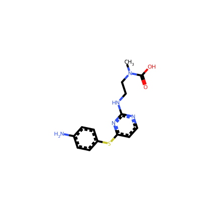 CN(CCNc1nccc(Sc2ccc(N)cc2)n1)C(=O)O